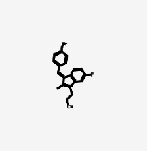 CC1=C(CCC#N)c2cc(F)ccc2C1=Cc1ccc(C(C)C)cc1